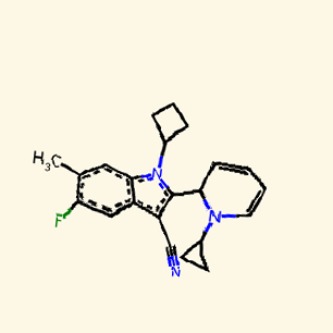 Cc1cc2c(cc1F)c(C#N)c(C1C=CC=CN1C1CC1)n2C1CCC1